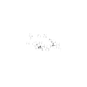 CC(C)(C)OC(=O)N1CCC(=O)CC1.CC(C)(C)OC(=O)N1CCC(N2CCCC(OCC3CC(F)(F)C3)C2)CC1